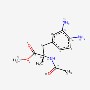 COC(=O)[C@](C)(Cc1ccc(N)c(N)c1)NC(C)=O